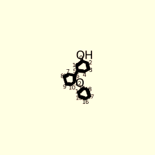 Oc1cccc(-c2[c]cccc2Oc2ccccc2)c1